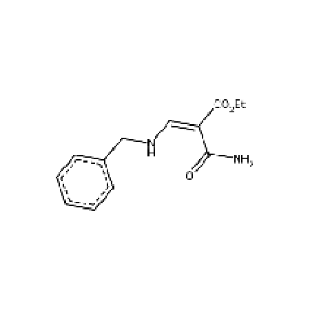 CCOC(=O)/C(=C/NCc1ccccc1)C(N)=O